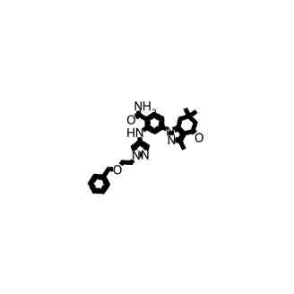 Cc1nn(-c2ccc(C(N)=O)c(Nc3cnn(CCOCc4ccccc4)c3)c2)c2c1C(=O)CC(C)(C)C2